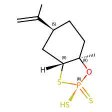 C=C(C)[C@H]1CC[C@@]2(C)O[P@@](=S)(S)S[C@@H]2C1